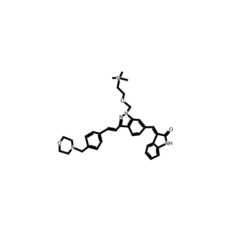 C[Si](C)(C)CCOCn1nc(C=Cc2ccc(CN3CCOCC3)cc2)c2ccc(/C=C3/C(=O)Nc4ccccc43)cc21